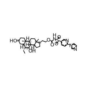 CC[C@H]1[C@@H](O)[C@@H]2[C@H](CC[C@]3(C)[C@@H](CCOC(=O)NS(=O)(=O)c4ccc(-n5ccnc5)nc4)CC[C@@H]23)[C@@]2(C)CC[C@@H](O)C[C@@H]12